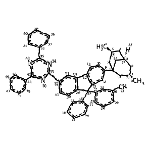 C[C@@H]1C[C@@H]2C[C@H](C)CC(c3ccc4c(c3)C(c3ccccc3)(c3cccc(C#N)c3)c3ccc(-c5nc(-c6ccccc6)nc(-c6ccccc6)n5)cc3-4)(C1)C2